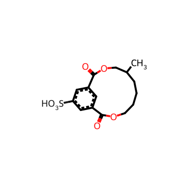 CC1CCCCOC(=O)c2cc(cc(S(=O)(=O)O)c2)C(=O)OC1